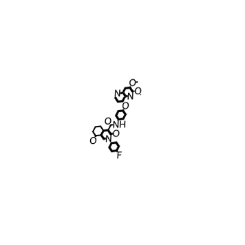 COc1cc2nccc(Oc3ccc(NC(=O)c4c5c(cn(-c6ccc(F)cc6)c4=O)C(=O)CCC5)cc3)c2nc1OC